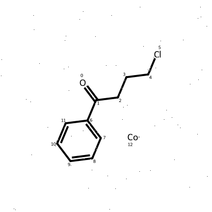 O=C(CCCCl)c1ccccc1.[Co]